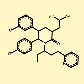 CCC(CCc1ccccn1)N1C(=O)C(CC(O)O)CC(c2cccc(Cl)c2)C1c1ccc(Cl)cc1